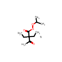 CCC(CC)(C(C)=O)C(=O)OOC(C)C.[Ti]